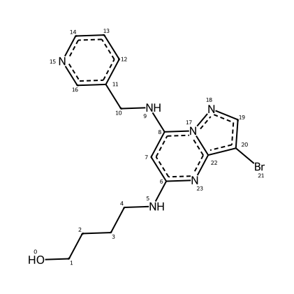 OCCCCNc1cc(NCc2cccnc2)n2ncc(Br)c2n1